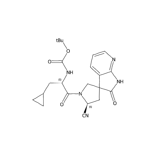 CC(C)(C)OC(=O)N[C@@H](CC1CC1)C(=O)N1CC2(C[C@H]1C#N)C(=O)Nc1ncccc12